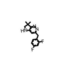 CC1(C)CNc2cc(Cc3ccc(F)cc3F)nnc21